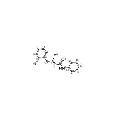 O=C(C=C(F)Sc1ccccc1F)Nc1ccccc1